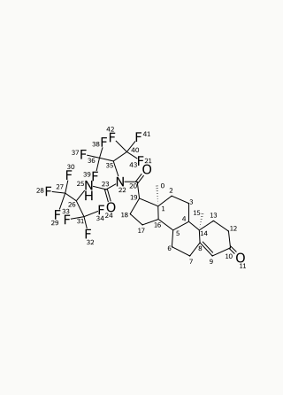 C[C@]12CCC3C(CCC4=CC(=O)CC[C@@]43C)C1CCC2C(=O)N(C(=O)NC(C(F)(F)F)C(F)(F)F)C(C(F)(F)F)C(F)(F)F